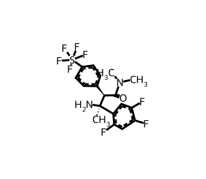 CN(C)C(=O)[C@H](c1ccc(S(F)(F)(F)(F)F)cc1)[C@](C)(N)c1cc(F)c(F)cc1F